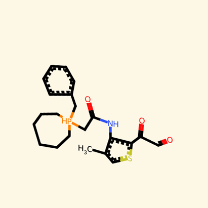 Cc1csc(C(=O)C=O)c1NC(=O)C[PH]1(Cc2ccccc2)CCCCCC1